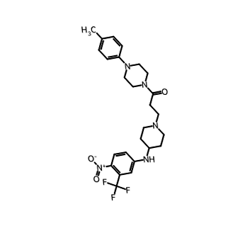 Cc1ccc(N2CCN(C(=O)CCN3CCC(Nc4ccc([N+](=O)[O-])c(C(F)(F)F)c4)CC3)CC2)cc1